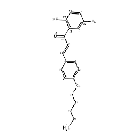 CCCCCSc1ccc(C=CC(=O)c2cc(F)ccc2F)cc1